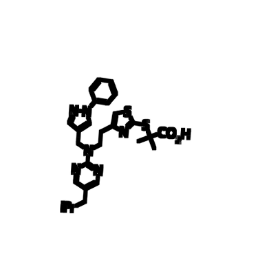 CC(C)Cc1cnc(N(CCc2csc(SC(C)(C)C(=O)O)n2)Cc2cnn(-c3ccccc3)c2)nc1